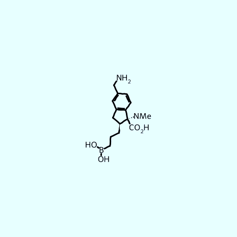 CN[C@@]1(C(=O)O)c2ccc(CN)cc2C[C@@H]1CCCB(O)O